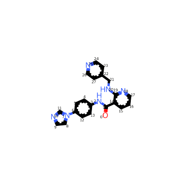 O=C(Nc1ccc(-n2ccnc2)cc1)c1cccnc1NCc1ccncc1